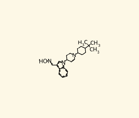 CC(C)(C)C1CCC(N2CCC(n3cc(C=NO)c4ccccc43)CC2)CC1